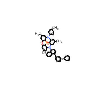 Cc1ccc(N2c3cc(C)cc4c3P3(=O)c5c(cc(C)cc5N(c5ccc(-c6cccc(-c7ccccc7)c6)c6ccccc56)c5cc(C)cc2c53)O4)cc1